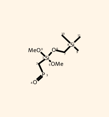 CO[Si](CP=O)(OC)OC[Si](C)(C)C